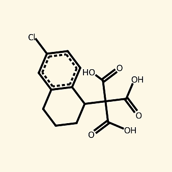 O=C(O)C(C(=O)O)(C(=O)O)C1CCCc2cc(Cl)ccc21